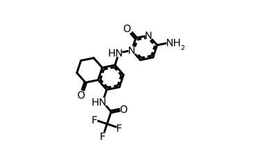 Nc1ccn(Nc2ccc(NC(=O)C(F)(F)F)c3c2CCCC3=O)c(=O)n1